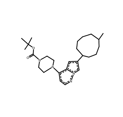 CC1CCCCC(c2cc3c(N4CCN(C(=O)OC(C)(C)C)CC4)ccnn3c2)CCC1